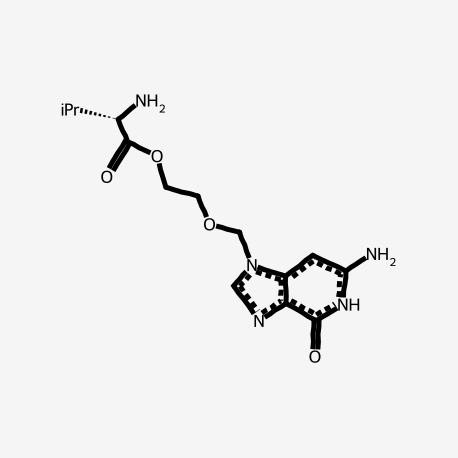 CC(C)[C@H](N)C(=O)OCCOCn1cnc2c(=O)[nH]c(N)cc21